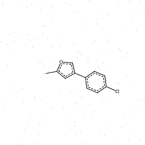 [CH2]c1cc(-c2ccc(Cl)cc2)co1